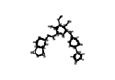 CCc1c(F)c(Oc2ccc(-n3ccnc3)cc2)nc(SCc2ccc3c(c2)OCO3)c1F